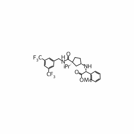 COC(=O)[C@@H](N[C@@H]1CC[C@@](C(=O)NCc2cc(C(F)(F)F)cc(C(F)(F)F)c2)(C(C)C)C1)c1ccccc1